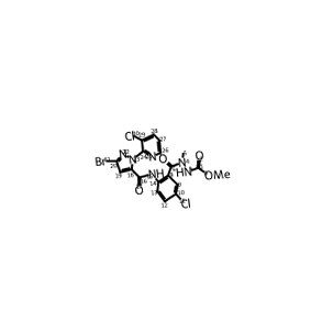 COC(=O)NN(C)C(=O)c1cc(Cl)ccc1NC(=O)c1cc(Br)nn1-c1ncccc1Cl